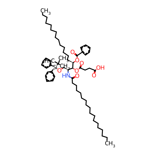 CCCCCCCCCCCCCCCCCC(=O)N[C@@H](CO[Si](c1ccccc1)(c1ccccc1)C(C)(C)C)[C@H](OC(=O)CCC(=O)O)[C@@H](CCCCCCCCCCCCCC)OC(=O)c1ccccc1